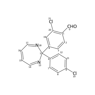 O=Cc1ccc(C2(c3ccc(Cl)cc3)N=CC=CC=N2)cc1Cl